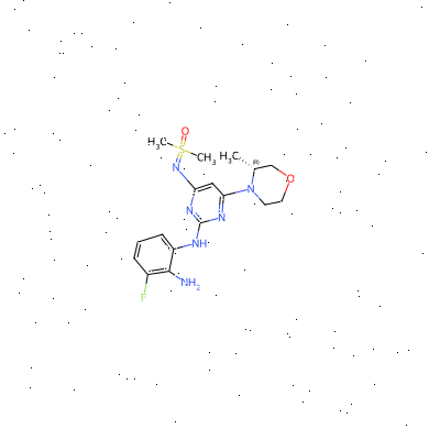 C[C@@H]1COCCN1c1cc(N=S(C)(C)=O)nc(Nc2cccc(F)c2N)n1